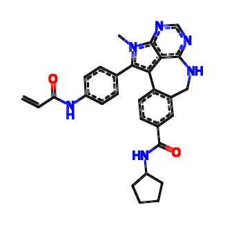 C=CC(=O)Nc1ccc(-c2c3c4c(ncnc4n2C)NCc2cc(C(=O)NC4CCCC4)ccc2-3)cc1